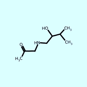 CC(=O)CNCC(O)C(C)C